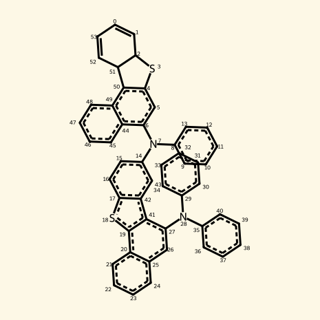 C1=CC2Sc3cc(N(c4ccccc4)c4ccc5sc6c7ccccc7cc(N(c7ccccc7)c7ccccc7)c6c5c4)c4ccccc4c3C2C=C1